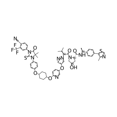 Cc1ncsc1-c1ccc([C@H](C)NC(=O)[C@@H]2C[C@@H](O)CN2C(=O)[C@H](C(C)C)n2cc(Oc3ccc(OC4CCC(Oc5ccc(N6C(=S)N(c7ccc(C#N)c(C(F)(F)F)c7)C(=O)C6(C)C)cc5)CC4)nc3)cn2)cc1